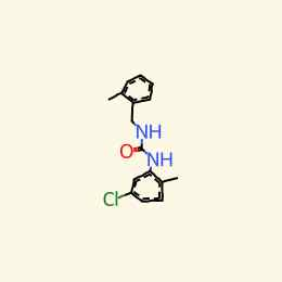 Cc1ccccc1CNC(=O)Nc1cc(Cl)ccc1C